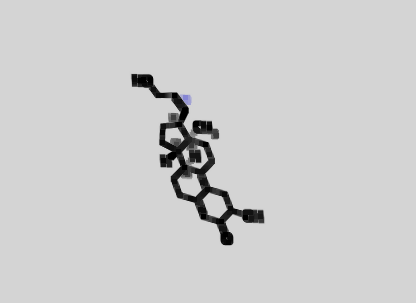 C[C@]12CCC3=C4CC(O)C(=O)C=C4CC[C@H]3[C@@H]1CC[C@H]2/C=C\CO